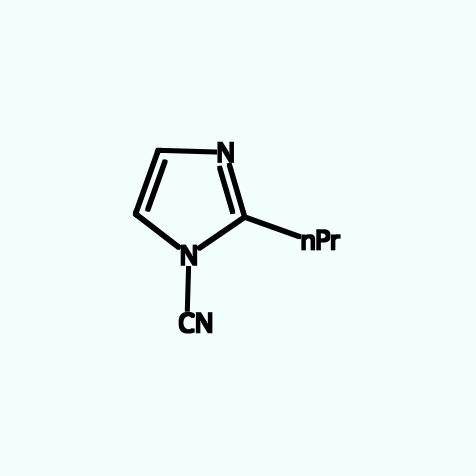 CCCc1nccn1C#N